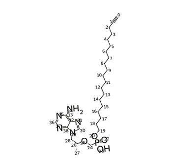 C#CCCCCCCCCCCCCCCCCCCOP(=O)(O)CO[C@H](C)Cn1cnc2c(N)ncnc21